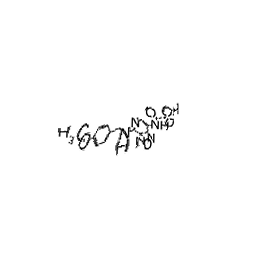 COc1ccc(CNc2ncc(NC(=O)C(=O)O)c3nonc23)cc1